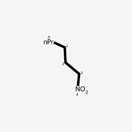 CCCC[CH]C[N+](=O)[O-]